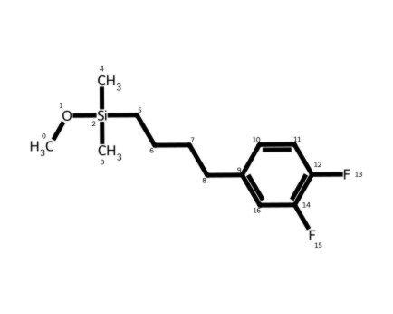 CO[Si](C)(C)CCCCc1ccc(F)c(F)c1